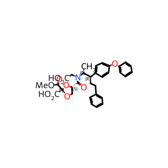 COC(=O)[C@]1(C(=O)O)OC[C@@H](C(=O)N(CC(=O)O)[C@H](C)[C@H](CCc2ccccc2)c2ccc(Oc3ccccc3)cc2)O1